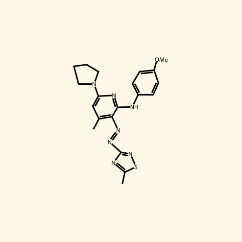 COc1ccc(Nc2nc(N3CCCC3)cc(C)c2N=Nc2nsc(C)n2)cc1